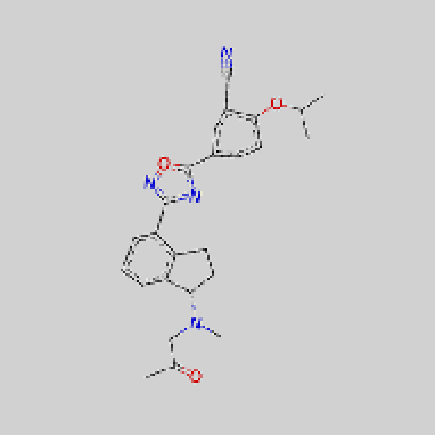 CC(=O)CN(C)[C@H]1CCc2c(-c3noc(-c4ccc(OC(C)C)c(C#N)c4)n3)cccc21